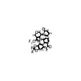 CN(C(=O)c1cccc(-n2nc(C(F)(F)F)c3c2C(n2ccccc2=O)COC3)c1)c1ccc2c(c1)OC(F)(F)O2